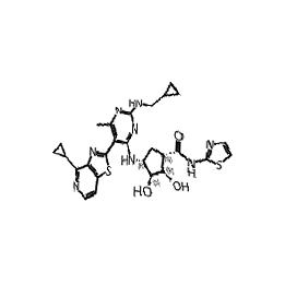 Cc1nc(NCC2CC2)nc(N[C@@H]2C[C@H](C(=O)Nc3nccs3)[C@@H](O)[C@H]2O)c1-c1nc2c(C3CC3)nccc2s1